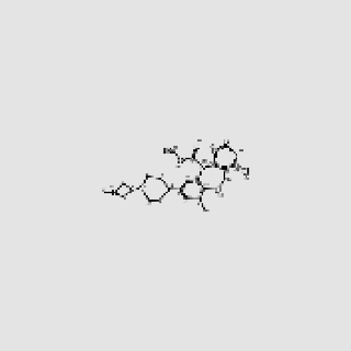 Cc1cc(C2CCN(C3CN(C)C3)CC2)cc2c1OCc1c(Cl)ncnc1N2C(=O)OC(C)(C)C